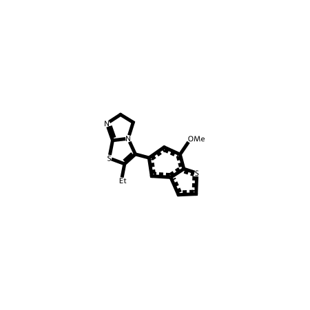 CCC1=C(c2cc(OC)c3sccc3c2)N2CCN=C2S1